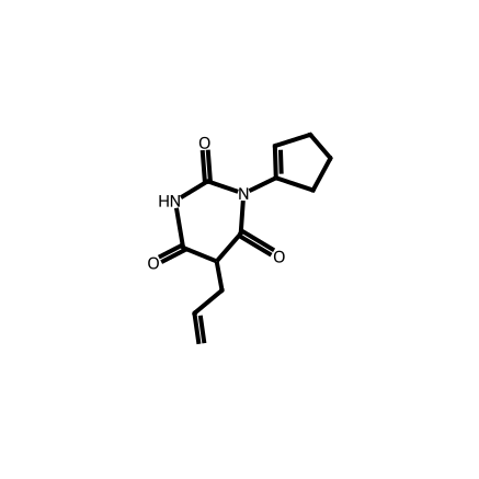 C=CCC1C(=O)NC(=O)N(C2=CCCC2)C1=O